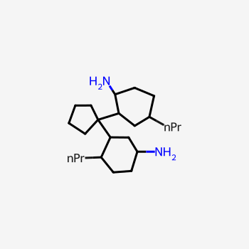 CCCC1CCC(N)C(C2(C3CC(N)CCC3CCC)CCCC2)C1